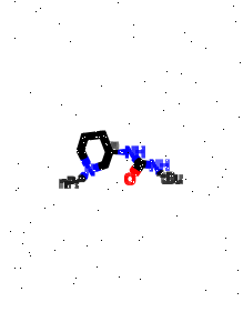 CCCN1CCC[C@@H](NC(=O)NC(C)(C)C)C1